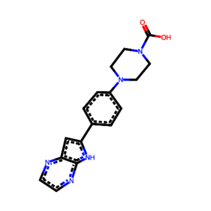 O=C(O)N1CCN(c2ccc(-c3cc4nccnc4[nH]3)cc2)CC1